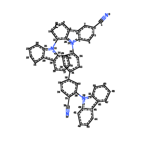 N#Cc1ccc2c(c1)c1cccc(-n3c4ccccc4c4ccccc43)c1n2-c1ccc(-c2ccc(C#N)c(-n3c4ccccc4c4ccccc43)c2)cc1